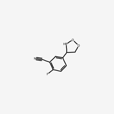 N#Cc1cc(C2BOOC2)ccc1F